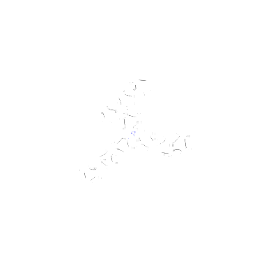 C1=CCCC(C2=CC=C(C3=CC=CCC3)[C@H](c3ccc(N(c4ccc(-c5ccc(-c6ccccc6)cc5)cc4)C4C=CC(c5ccc6ccccc6c5)=CC4)cc3)C2)=C1